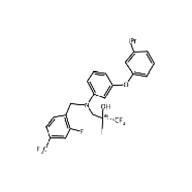 CC(C)c1cccc(Oc2cccc(N(Cc3ccc(C(F)(F)F)cc3F)C[C@@](O)(I)C(F)(F)F)c2)c1